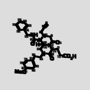 C#CCN1CC(=O)N2[C@@H](CCC(=O)O)C(=O)N(CCc3ccc(OC)cc3)C[C@@H]2N1C(=O)NCc1ccccc1